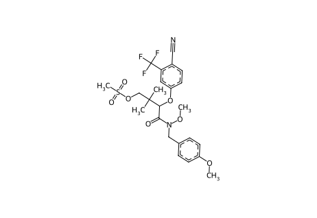 COc1ccc(CN(OC)C(=O)C(Oc2ccc(C#N)c(C(F)(F)F)c2)C(C)(C)COS(C)(=O)=O)cc1